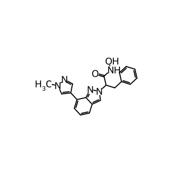 Cn1cc(-c2cccc3cn(C(Cc4ccccc4)C(=O)NO)nc23)cn1